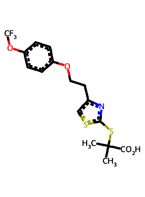 CC(C)(Sc1nc(CCOc2ccc(OC(F)(F)F)cc2)cs1)C(=O)O